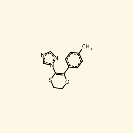 Cc1ccc(C2=C(n3cncn3)SCCO2)cc1